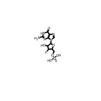 Nc1nc2c(ncn2C2OC(COP(O)(O)=S)C(F)C2O)c(=O)[nH]1